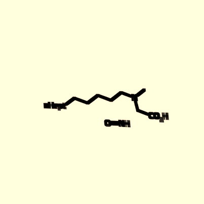 CCCCCCCCCCCCN(C)CC(=O)O.N=O